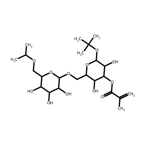 C=C(C)C(=O)OC1C(O)C(COC2OC(COC(C)C)C(O)C(O)C2O)OC(OC(C)(C)C)C1O